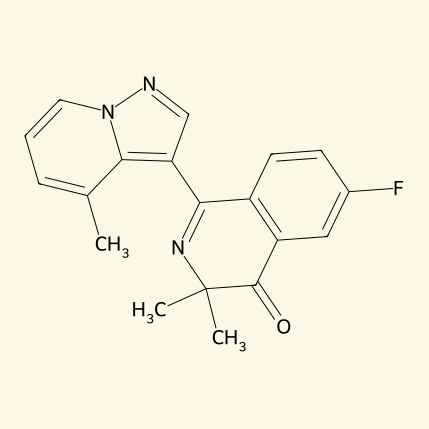 Cc1cccn2ncc(C3=NC(C)(C)C(=O)c4cc(F)ccc43)c12